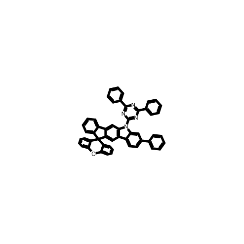 c1ccc(-c2ccc3c4cc5c(cc4n(-c4nc(-c6ccccc6)nc(-c6ccccc6)n4)c3c2)-c2ccccc2C52c3ccccc3Oc3ccccc32)cc1